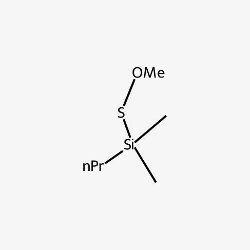 CCC[Si](C)(C)SOC